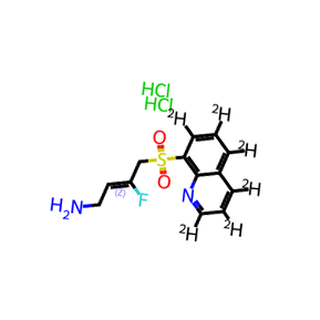 Cl.Cl.[2H]c1nc2c(S(=O)(=O)C/C(F)=C/CN)c([2H])c([2H])c([2H])c2c([2H])c1[2H]